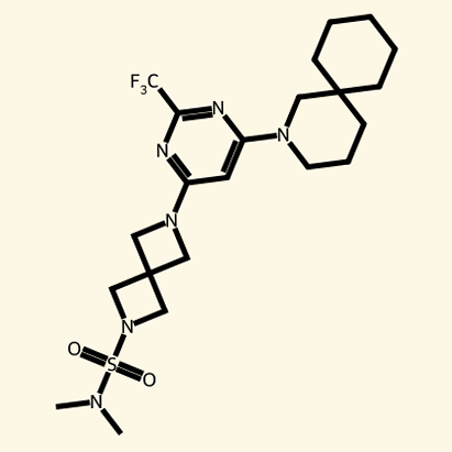 CN(C)S(=O)(=O)N1CC2(CN(c3cc(N4CCCC5(CCCCC5)C4)nc(C(F)(F)F)n3)C2)C1